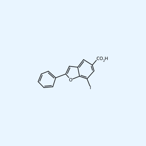 O=C(O)c1cc(I)c2oc(-c3ccccc3)cc2c1